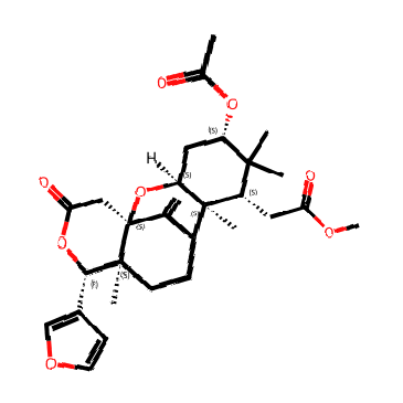 C=C1C2CC[C@@]3(C)[C@H](c4ccoc4)OC(=O)C[C@]13O[C@H]1C[C@H](OC(C)=O)C(C)(C)[C@H](CC(=O)OC)[C@@]21C